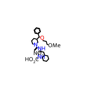 COCCCOC(c1ccccc1)C1CCCN(C(=C[N+](=O)[O-])N[C@@H](CNC(=O)O)CC2CCCCC2)C1